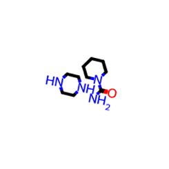 C1CNCCN1.NC(=O)N1CCCCC1